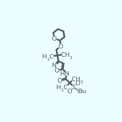 CC[C@H](C)S(=O)(=O)C(C)(C)C(=O)Nc1cc(C(C)(C)COC2CCCCO2)no1